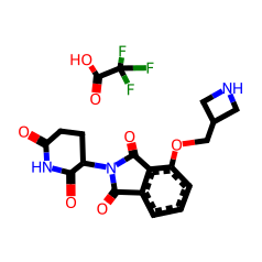 O=C(O)C(F)(F)F.O=C1CCC(N2C(=O)c3cccc(OCC4CNC4)c3C2=O)C(=O)N1